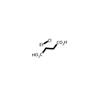 CCCl.O=C(O)CCC(=O)O